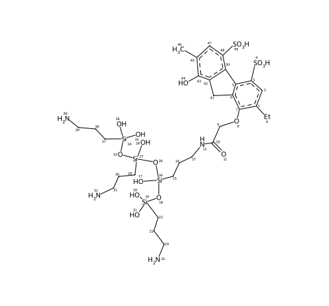 CCc1cc(S(=O)(=O)O)c2c(c1OCC(=O)NCCC[Si](O)(O[Si](O)(O)CCCN)O[Si](O)(CCCN)O[Si](O)(O)CCCN)Cc1c(O)c(C)cc(S(=O)(=O)O)c1-2